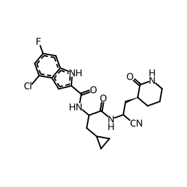 N#CC(C[C@@H]1CCCNC1=O)NC(=O)C(CC1CC1)NC(=O)c1cc2c(Cl)cc(F)cc2[nH]1